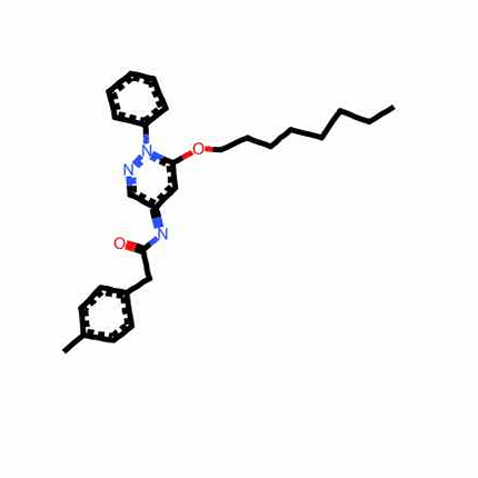 CCCCCCCCOc1c/c(=N/C(=O)Cc2ccc(C)cc2)cnn1-c1ccccc1